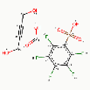 O=CO.O=S(=O)(O)c1c(F)c(F)c(F)c(F)c1F.OCC#CCO